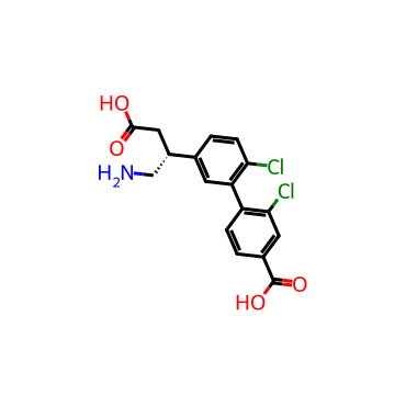 NC[C@H](CC(=O)O)c1ccc(Cl)c(-c2ccc(C(=O)O)cc2Cl)c1